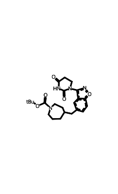 CC(C)(C)OC(=O)N1CCCC(Cc2ccc3onc(N4CCC(=O)NC4=O)c3c2)CC1